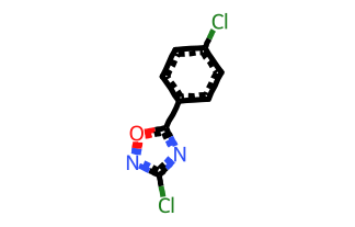 Clc1ccc(-c2nc(Cl)no2)cc1